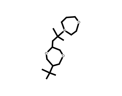 CC(C)(C)C1COCC(CC(C)(C)N2CCCOCC2)OC1